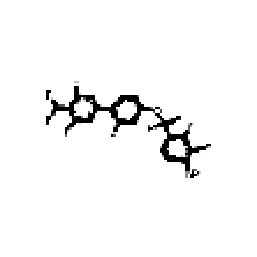 CCCc1ccc(C(F)(F)Oc2ccc(-c3cc(F)c(C(F)F)c(F)c3)c(F)c2)c(F)c1F